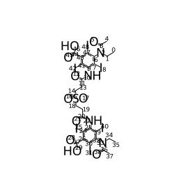 CCN(C(C)=O)c1c(I)c(NC(=O)CCS(=O)(=O)CCC(=O)Nc2c(I)c(C(=O)O)c(I)c(N(CC)C(C)=O)c2I)c(I)c(C(=O)O)c1I